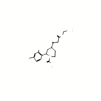 CCOC(=O)CC(=O)C1CCN(C(=O)OC)C(c2ccc(Cl)cc2F)C1